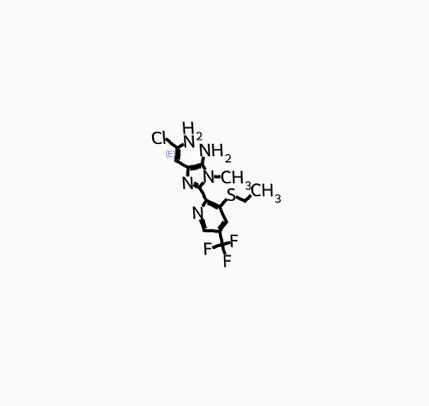 CCSc1cc(C(F)(F)F)cnc1-c1nc(/C=C(\N)Cl)c(N)n1C